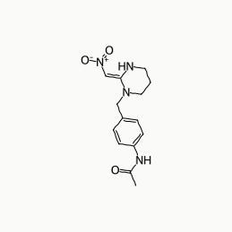 CC(=O)Nc1ccc(CN2CCCNC2=C[N+](=O)[O-])cc1